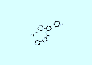 CC(C)(C)OC(=O)NC[C@@H]1CCCN(c2c(NC(=O)c3csc(-c4ccnnc4)n3)ccc(Oc3c(F)cc(F)cc3F)c2C(F)(F)F)C1